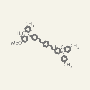 COc1ccc(N(c2ccc(C=Cc3ccc(C=Cc4ccc(N(c5ccc(C)cc5)c5ccc(C)cc5C)cc4)cc3)cc2)c2ccc(C)cc2C)cc1